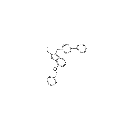 CCc1cc2c(OCc3ccccc3)cccn2c1Cc1ccc(-c2ccccc2)cc1